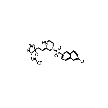 O=C(OC1(CCC2CN(S(=O)(=O)c3ccc4cc(Cl)ccc4c3)CCN2)N=NN=N1)C(F)(F)F